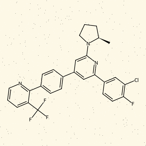 C[C@@H]1CCCN1c1cc(-c2ccc(-c3ncccc3C(F)(F)F)cc2)cc(-c2ccc(F)c(Cl)c2)n1